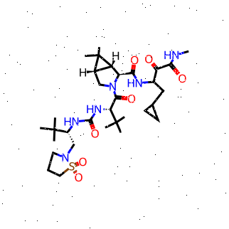 CNC(=O)C(=O)C(CC1CC1)NC(=O)[C@@H]1[C@@H]2[C@H](CN1C(=O)[C@@H](NC(=O)N[C@H](CN1CCCS1(=O)=O)C(C)(C)C)C(C)(C)C)C2(C)C